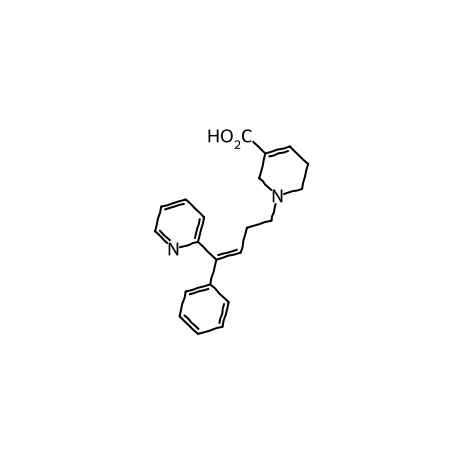 O=C(O)C1=CCCN(CCC=C(c2ccccc2)c2ccccn2)C1